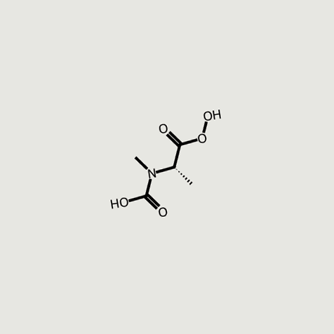 C[C@@H](C(=O)OO)N(C)C(=O)O